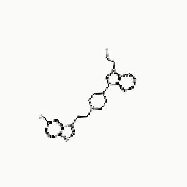 C=CCn1cc(C2=CCN(CCc3csc4ccc(Cl)cc34)CC2)c2ccccc21